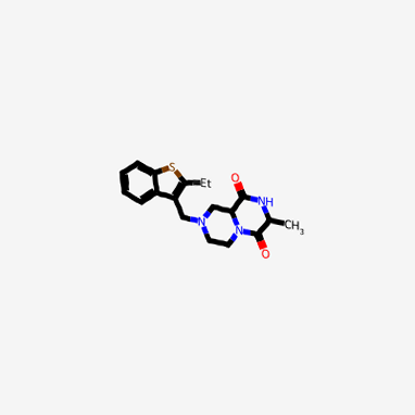 CCc1sc2ccccc2c1CN1CCN2C(=O)C(C)NC(=O)C2C1